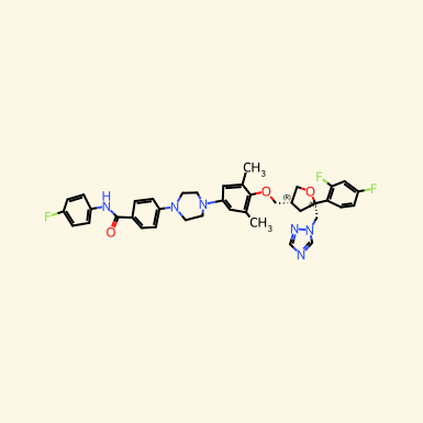 Cc1cc(N2CCN(c3ccc(C(=O)Nc4ccc(F)cc4)cc3)CC2)cc(C)c1OC[C@@H]1CO[C@@](Cn2cncn2)(c2ccc(F)cc2F)C1